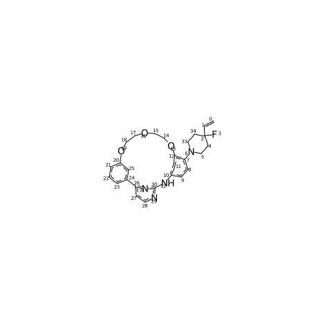 C=CC1(F)CCN(c2ccc3cc2OCCOCCOc2cccc(c2)-c2ccnc(n2)N3)CC1